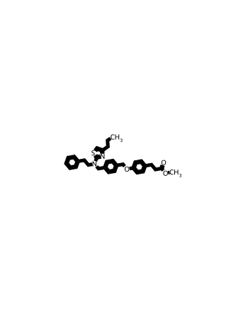 CCCc1csc(N(CCc2ccccc2)Cc2ccc(COc3ccc(CCC(=O)OC)cc3)cc2)n1